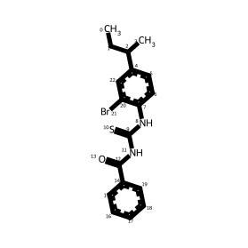 CCC(C)c1ccc(NC(=S)NC(=O)c2ccccc2)c(Br)c1